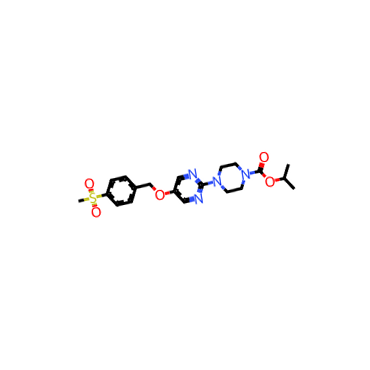 CC(C)OC(=O)N1CCN(c2ncc(OCc3ccc(S(C)(=O)=O)cc3)cn2)CC1